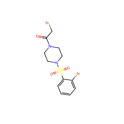 O=C(CBr)N1CCN(S(=O)(=O)c2ccccc2Br)CC1